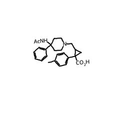 CC(=O)NC1(c2ccccc2)CCN(CC2CC2(C(=O)O)c2ccc(C)cc2)CC1